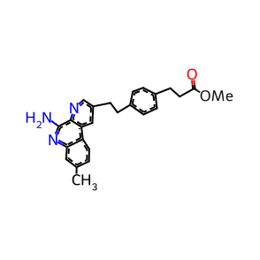 COC(=O)CCc1ccc(CCc2cnc3c(N)nc4cc(C)ccc4c3c2)cc1